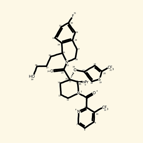 CCC[C@H]1N(C(=O)c2ncccc2C(F)(F)F)CCC[C@@]1(Oc1csc(C(F)(F)F)c1)C(=O)N1CCc2cc(F)ccc2C1CCCO